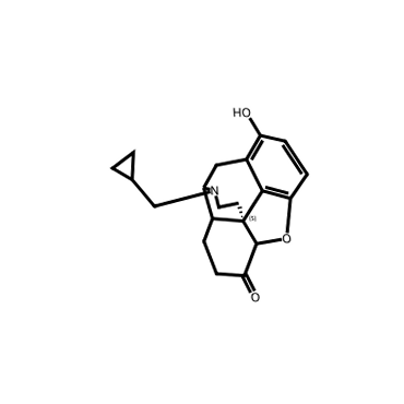 O=C1CCC2C3Cc4c(O)ccc5c4[C@@]2(CCN3CC2CC2)C1O5